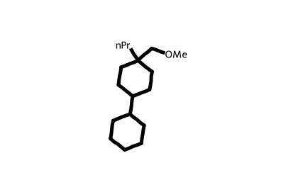 CCCC1(COC)CCC(C2CCCCC2)CC1